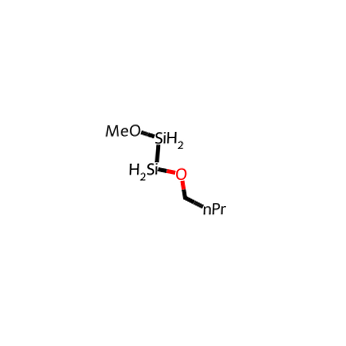 CCCCO[SiH2][SiH2]OC